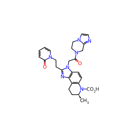 C[C@H]1CCc2c(ccc3c2nc(CCn2ccccc2=O)n3CC(=O)N2CCn3ccnc3C2)N1C(=O)O